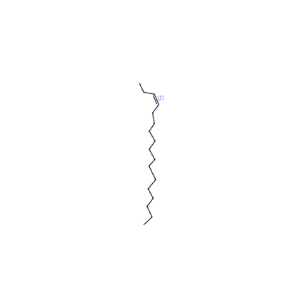 CC/C=C\CCCCCCCCCCCCC